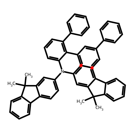 CC1(C)c2ccccc2-c2ccc(N(c3ccc4c(c3)C(C)(C)c3ccccc3-4)c3cccc(-c4ccccc4)c3-c3cccc(-c4ccccc4)c3)cc21